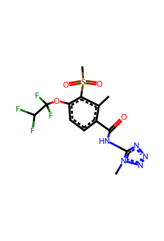 Cc1c(C(=O)Nc2nnnn2C)ccc(OC(F)(F)C(F)F)c1S(C)(=O)=O